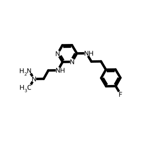 CN(N)CCNc1nccc(NCCc2ccc(F)cc2)n1